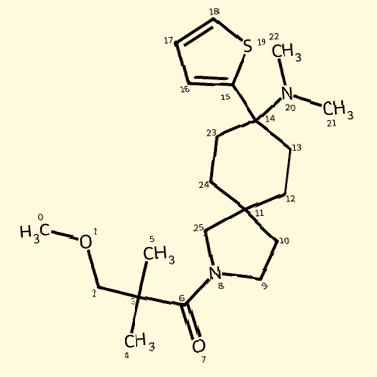 COCC(C)(C)C(=O)N1CCC2(CCC(c3cccs3)(N(C)C)CC2)C1